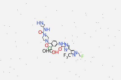 Cn1c(-c2cn(CCF)nc2C(F)(F)F)cnc1C(=O)Nc1ccc(C(=O)N2CCN(C(=O)NC3CNC3)CC2)c(Cl)c1.O=CO